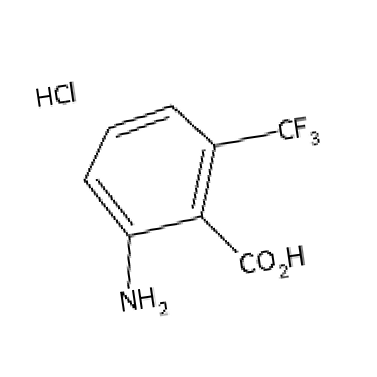 Cl.Nc1cccc(C(F)(F)F)c1C(=O)O